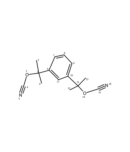 CC(C)(OC#N)c1cccc(C(C)(C)OC#N)c1